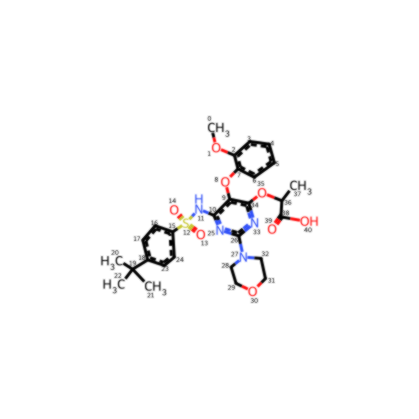 COc1ccccc1Oc1c(NS(=O)(=O)c2ccc(C(C)(C)C)cc2)nc(N2CCOCC2)nc1OC(C)C(=O)O